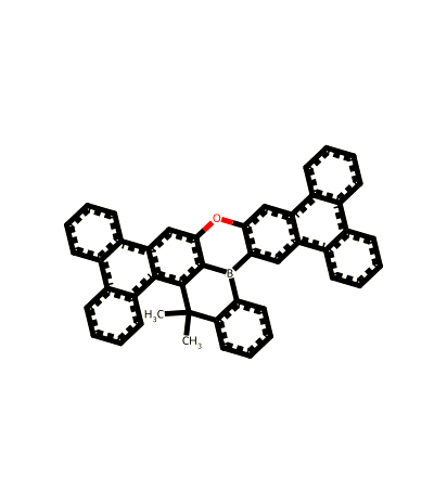 CC1(C)c2ccccc2B2c3cc4c5ccccc5c5ccccc5c4cc3Oc3cc4c5ccccc5c5ccccc5c4c1c32